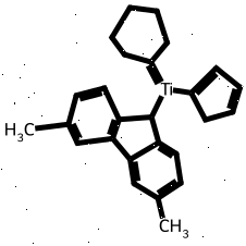 Cc1ccc2c(c1)-c1cc(C)ccc1[CH]2[Ti]([C]1=CC=CC1)=[C]1CCCCC1